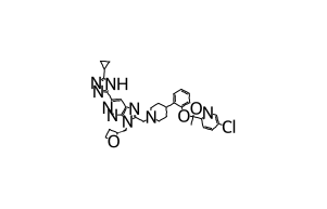 CC1(c2ccc(Cl)cn2)Oc2cccc(C3CCN(Cc4nc5cc(-c6nnc(C7CC7)[nH]6)nnc5n4C[C@@H]4CCO4)CC3)c2O1